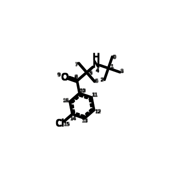 CC(C)(C)NC(C)(C)C(=O)c1cccc(Cl)c1